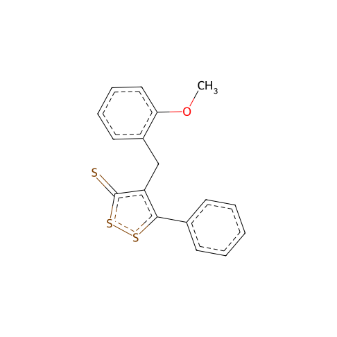 COc1ccccc1Cc1c(-c2ccccc2)ssc1=S